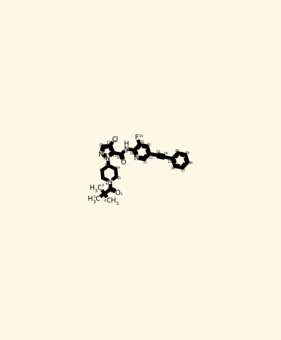 CC(C)(C)C(=O)N1CCC(n2ncc(Cl)c2C(=O)Nc2ncc(C#Cc3ccccc3)cc2F)CC1